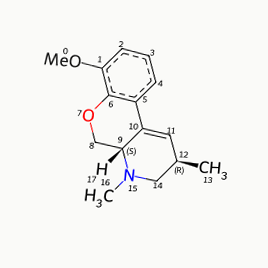 COc1cccc2c1OC[C@@H]1C2=C[C@@H](C)CN1C